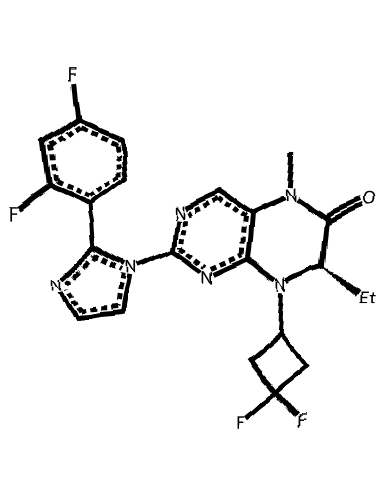 CC[C@@H]1C(=O)N(C)c2cnc(-n3ccnc3-c3ccc(F)cc3F)nc2N1C1CC(F)(F)C1